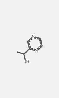 C[C](S)c1cnccn1